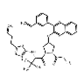 C=CCCc1nnc(N[C@H](C(=O)N2CC(Oc3nc4ccccc4nc3-c3cccc(C=C)c3)C[C@H]2C(=O)OC)C(C)(C)C)o1